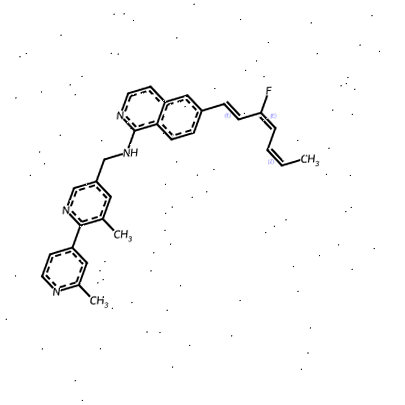 C\C=C/C=C(F)\C=C\c1ccc2c(NCc3cnc(-c4ccnc(C)c4)c(C)c3)nccc2c1